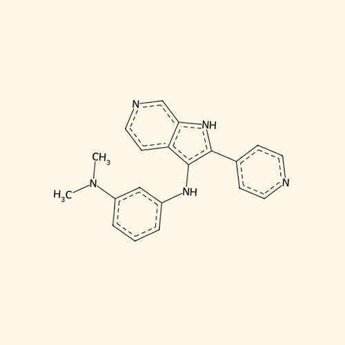 CN(C)c1cccc(Nc2c(-c3ccncc3)[nH]c3cnccc23)c1